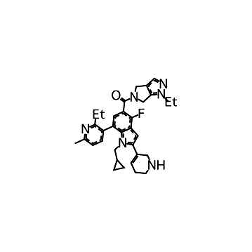 CCc1nc(C)ccc1-c1cc(C(=O)N2Cc3cnn(CC)c3C2)c(F)c2cc(C3=CCCNC3)n(CC3CC3)c12